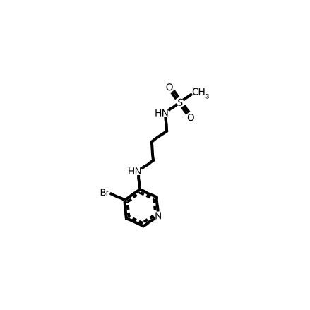 CS(=O)(=O)NCCCNc1cnccc1Br